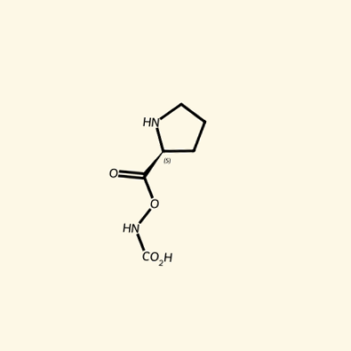 O=C(O)NOC(=O)[C@@H]1CCCN1